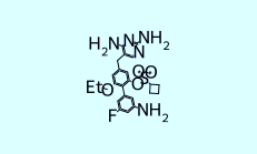 CCOc1cc(Cc2cnc(N)nc2N)cc(OS(=O)(=O)C2CCC2)c1-c1cc(N)cc(F)c1